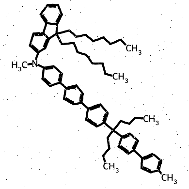 CCCCCCCCC1(CCCCCCCC)c2ccccc2-c2ccc(N(C)c3ccc(-c4ccc(-c5ccc(C(CCCC)(CCCC)c6ccc(-c7ccc(C)cc7)cc6)cc5)cc4)cc3)cc21